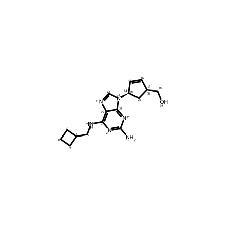 Nc1nc(NCC2CCC2)c2ncn([C@H]3C=C[C@@H](CO)C3)c2n1